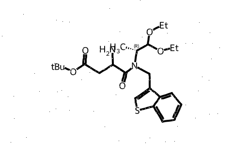 CCOC(OCC)[C@@H](C)N(Cc1csc2ccccc12)C(=O)C(N)CC(=O)OC(C)(C)C